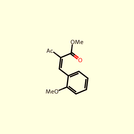 COC(=O)C(=Cc1ccccc1OC)C(C)=O